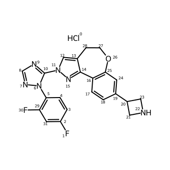 Cl.Fc1ccc(-n2ncnc2-n2cc3c(n2)-c2ccc(C4CNC4)cc2OCC3)c(F)c1